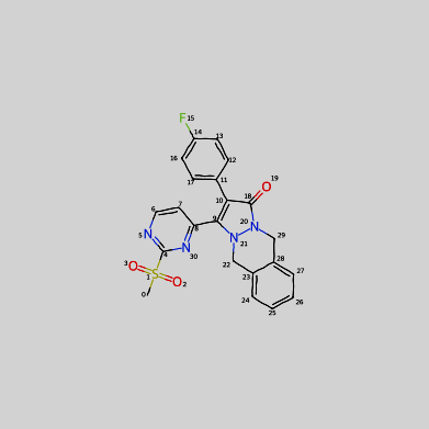 CS(=O)(=O)c1nccc(-c2c(-c3ccc(F)cc3)c(=O)n3n2Cc2ccccc2C3)n1